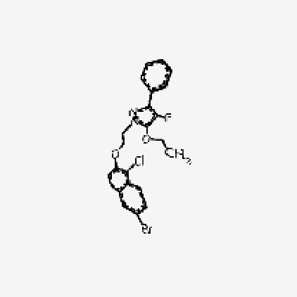 CCOc1c(F)c(-c2ccccc2)nn1CCOc1ccc2cc(Br)ccc2c1Cl